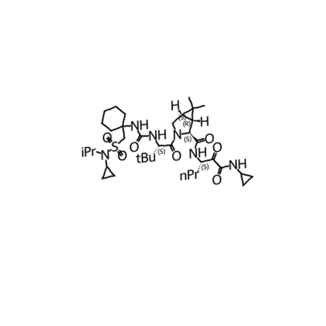 CCC[C@H](NC(=O)[C@@H]1[C@@H]2[C@H](CN1C(=O)[C@@H](NC(=O)NC1(CS(=O)(=O)N(C(C)C)C3CC3)CCCCC1)C(C)(C)C)C2(C)C)C(=O)C(=O)NC1CC1